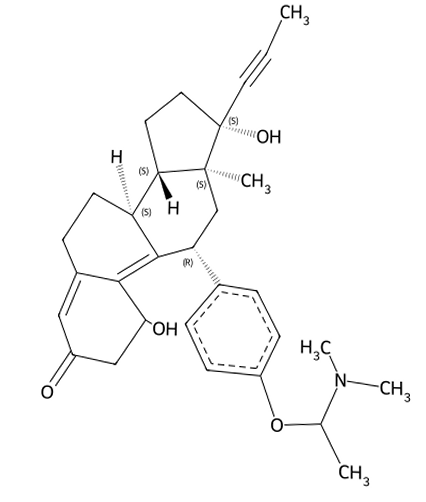 CC#C[C@]1(O)CC[C@H]2[C@@H]3CCC4=CC(=O)CC(O)C4=C3[C@@H](c3ccc(OC(C)N(C)C)cc3)C[C@@]21C